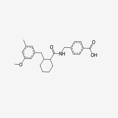 COc1cc(C)cc(CC2CCCCC2C(=O)NCc2ccc(C(=O)O)cc2)c1